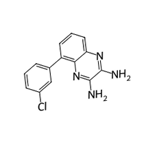 Nc1nc2cccc(-c3cccc(Cl)c3)c2nc1N